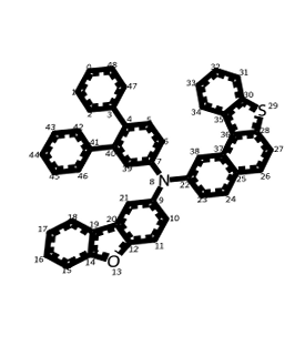 c1ccc(-c2ccc(N(c3ccc4oc5ccccc5c4c3)c3ccc4ccc5sc6ccccc6c5c4c3)cc2-c2ccccc2)cc1